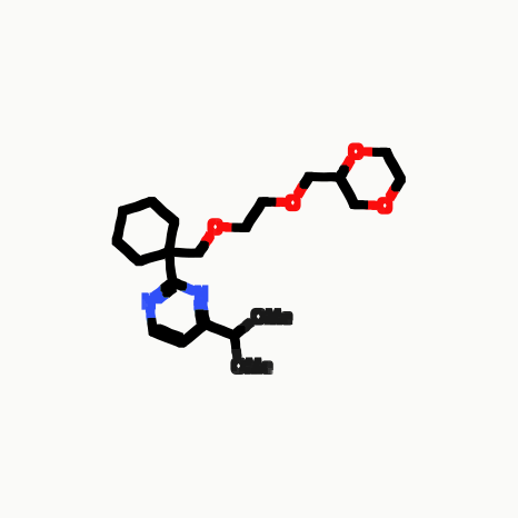 COC(OC)c1ccnc(C2(COCCOCC3COCCO3)CCCCC2)n1